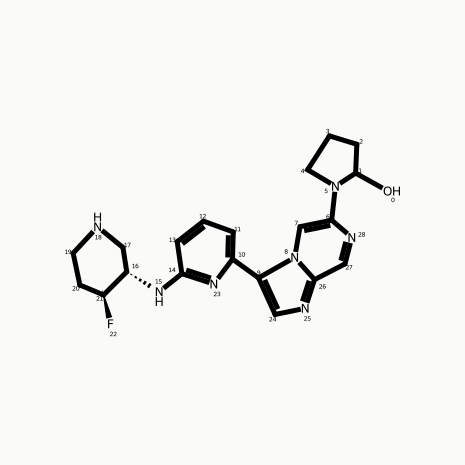 OC1CCCN1c1cn2c(-c3cccc(N[C@H]4CNCC[C@@H]4F)n3)cnc2cn1